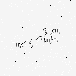 CCC(=O)CCC[C@H](N)C(=O)C(C)C